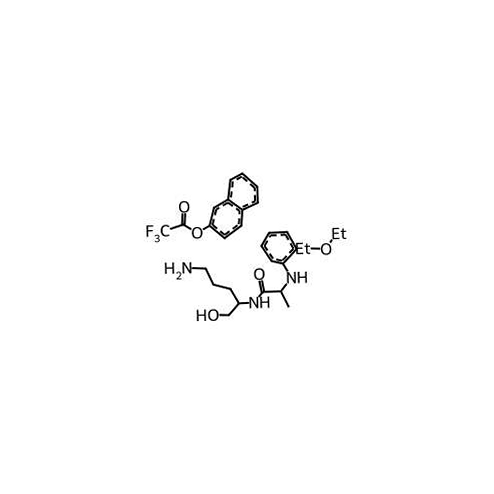 CC(Nc1ccccc1)C(=O)NC(CO)CCCN.CCOCC.O=C(Oc1ccc2ccccc2c1)C(F)(F)F